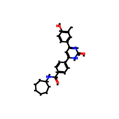 Cc1cc(-c2cc(-c3ccc(C(=O)NC4CCCCCC4)cc3)[nH]c(=O)n2)ccc1O